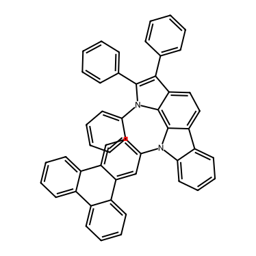 c1ccc(-c2c(-c3ccccc3)n(-c3ccccc3)c3c2ccc2c4ccccc4n(-c4ccc5c6ccccc6c6ccccc6c5c4)c23)cc1